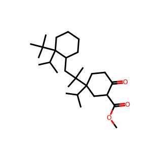 COC(=O)C1CC(C(C)C)(C(C)(C)CC2CCCCC2(C(C)C)C(C)(C)C)CCC1=O